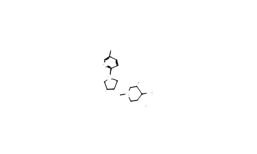 OC1[C@H](O)CN(C[C@@H]2CCN(c3ccc(C(F)(F)F)cn3)C2)C[C@@H]1O